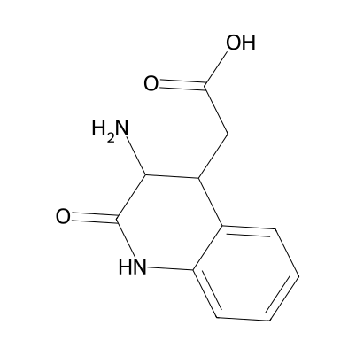 NC1C(=O)Nc2ccccc2C1CC(=O)O